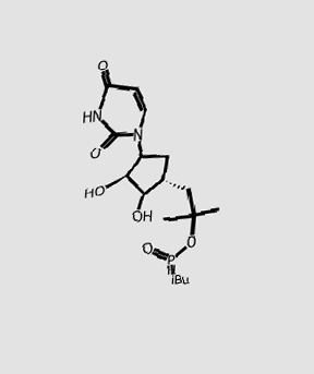 CCC(C)[PH](=O)OC(C)(C)C[C@H]1CC(n2ccc(=O)[nH]c2=O)[C@H](O)C1O